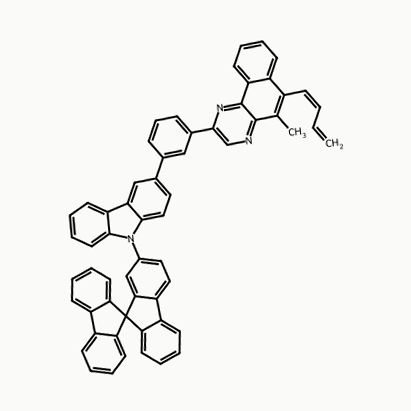 C=C/C=C\c1c(C)c2ncc(-c3cccc(-c4ccc5c(c4)c4ccccc4n5-c4ccc5c(c4)C4(c6ccccc6-c6ccccc64)c4ccccc4-5)c3)nc2c2ccccc12